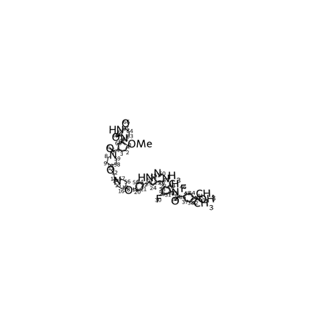 COc1ccc(C(=O)N2CCC(OCCN3CCC(Oc4ccc(-c5cc6c(-c7cc(F)cc(NC(=O)c8ccc(C(C)(C)O)cc8F)c7C)ncnc6[nH]5)cc4)CC3)CC2)cc1N1CCC(=O)NC1=O